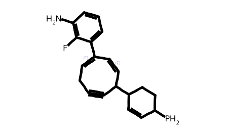 Nc1cccc(C2=C/CC#CC(C3C=CC(P)CC3)/C=C\2)c1F